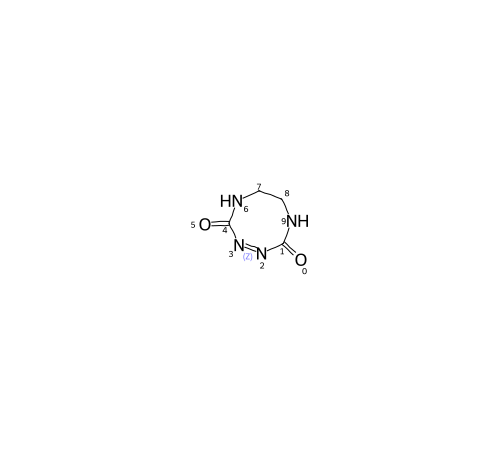 O=C1/N=N\C(=O)NCCN1